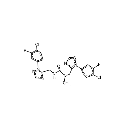 CN(Cc1ncnn1-c1ccc(Cl)c(F)c1)C(=O)NCc1ncnn1-c1ccc(Cl)c(F)c1